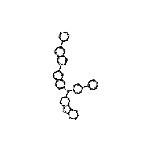 c1ccc(-c2ccc(N(c3ccc4ccc(-c5ccc6cc(-c7ccccc7)ccc6c5)cc4c3)c3ccc4sc5ccccc5c4c3)cc2)cc1